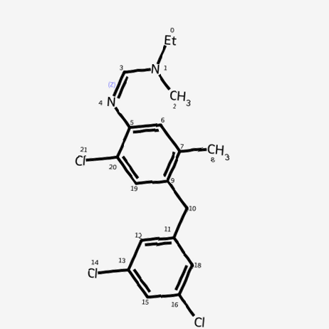 CCN(C)/C=N\c1cc(C)c(Cc2cc(Cl)cc(Cl)c2)cc1Cl